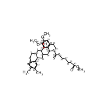 CCC1CN2CCc3cc(C)c(C)cc3C2CC1CC1c2cc(OC)c(OC)cc2CCN1C(=S)SCCCCC(=O)OC